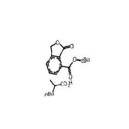 CC(C)(C)OC(=O)c1cccc2c1C(=O)OC2.CCCCC(C)C(=O)O